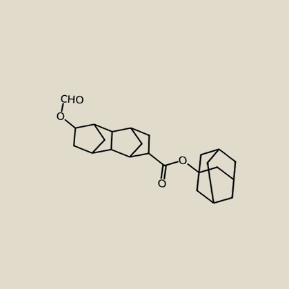 O=COC1CC2CC1C1C3CC(C(=O)OC45CC6CC(CC(C6)C4)C5)C(C3)C21